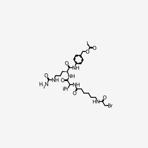 CC(C)C(NC(=O)CCCCCNC(=O)CBr)C(=O)N[C@@H](CCCNC(N)=O)C(=O)Nc1ccc(COC(=O)I)cc1